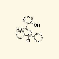 CC(=N[N+](Cl)(c1ccccc1)c1ccccc1)c1ncccc1O